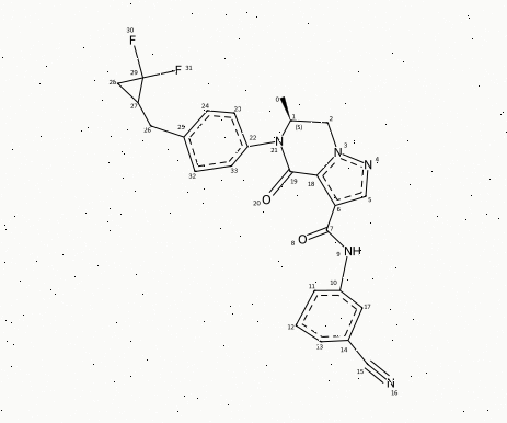 C[C@H]1Cn2ncc(C(=O)Nc3cccc(C#N)c3)c2C(=O)N1c1ccc(CC2CC2(F)F)cc1